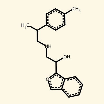 Cc1ccc(C(C)CNCC(O)c2occ3ccccc23)cc1